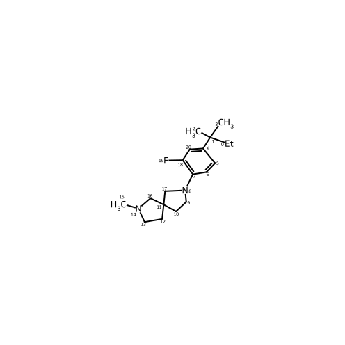 CCC(C)(C)c1ccc(N2CCC3(CCN(C)C3)C2)c(F)c1